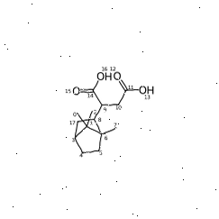 CC1(C)C2CCC1(C)C(C(CC(=O)O)C(=O)O)C2